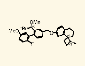 COc1ccc(F)c(-c2ccc(COc3ccc4c(c3)[C@@]3(CCC4)CC[C@@H]3C)cc2[C@@H](OC)C(C)(C)C)c1